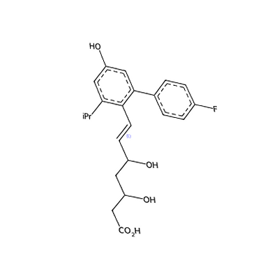 CC(C)c1cc(O)cc(-c2ccc(F)cc2)c1/C=C/C(O)CC(O)CC(=O)O